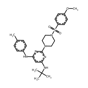 COc1ccc(S(=O)(=O)N2CCN(c3nc(Nc4ccc(C)cc4)cc(NC(C)(C)C)n3)CC2)cc1